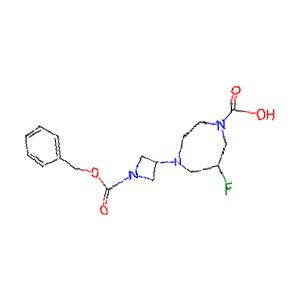 O=C(O)N1CCN(C2CN(C(=O)OCc3ccccc3)C2)CC(F)C1